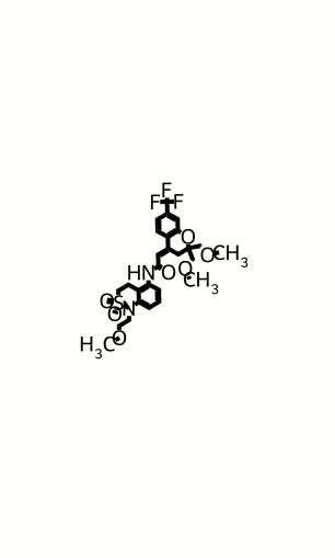 COCCN1c2cccc(NC(=O)C=C3CC(COC)(COC)Oc4cc(C(F)(F)F)ccc43)c2CCS1(=O)=O